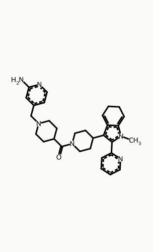 Cn1c(-c2ccccn2)c(C2CCN(C(=O)C3CCN(Cc4ccnc(N)c4)CC3)CC2)c2c1=CCCC=2